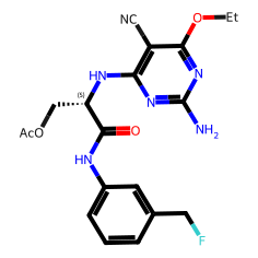 CCOc1nc(N)nc(N[C@@H](COC(C)=O)C(=O)Nc2cccc(CF)c2)c1C#N